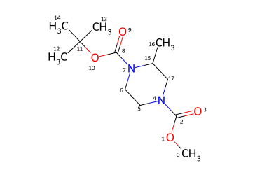 COC(=O)N1CCN(C(=O)OC(C)(C)C)C(C)C1